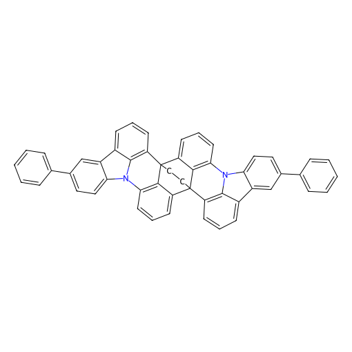 c1ccc(-c2ccc3c(c2)c2cccc4c2n3-c2cccc3c2C42CCC34c3c(cccc32)-n2c3ccc(-c5ccccc5)cc3c3cccc4c32)cc1